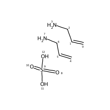 C=CCN.C=CCN.O=S(=O)(O)O